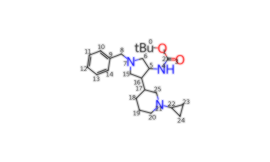 CC(C)(C)OC(=O)NC1CN(Cc2ccccc2)CC1C1CCCN(C2CC2)C1